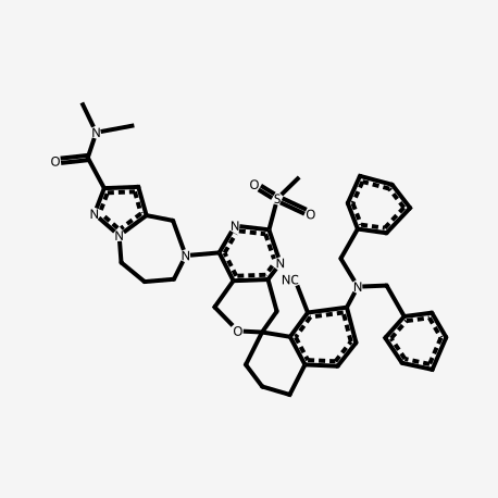 CN(C)C(=O)c1cc2n(n1)CCCN(c1nc(S(C)(=O)=O)nc3c1COC1(CCCc4ccc(N(Cc5ccccc5)Cc5ccccc5)c(C#N)c41)C3)C2